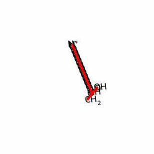 C=CCCCCCCCCCC(CCCCCCCCCCC(=O)O)C(=O)NCCOCCOCCOCCOCCOCCOCCOCCOCCOCCOCCOCCOCCOCCOCCOCCOCCOCCOCCOCCOCCOCCOCCOCCN=[N+]=[N-]